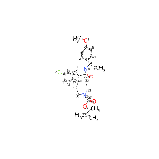 COc1ccc(C(C)N2CC[C@@H](C3(c4ccc(F)cc4)CCN(C(=O)OC(C)(C)C)CC3)C2=O)cc1